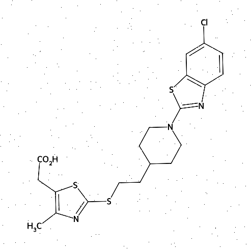 Cc1nc(SCCC2CCN(c3nc4ccc(Cl)cc4s3)CC2)sc1CC(=O)O